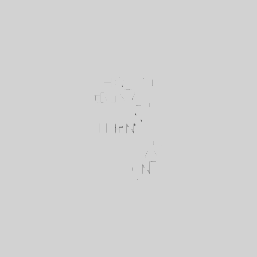 Br.CC(C)(C)c1cc(C(=O)CN2CC3CC(Oc4ccc([N+](=O)[O-])cc4)CC3C2=N)cc(C(C)(C)C)c1O